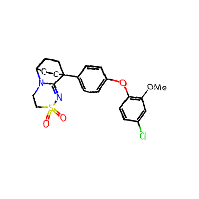 COc1cc(Cl)ccc1Oc1ccc(C23CCC(CC2)N2CCS(=O)(=O)N=C23)cc1